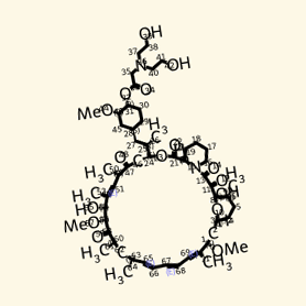 CO[C@H]1C[C@@H]2CC[C@@H](C)[C@@](O)(O2)C(=O)C(=O)N2CCCC[C@H]2C(=O)O[C@H]([C@H](C)C[C@@H]2CC[C@@H](OC(=O)CN(CCO)CCO)[C@H](OC)C2)CC(=O)[C@H](C)/C=C(\C)[C@@H](O)[C@@H](OC)C(=O)[C@H](C)C[C@H](C)/C=C/C=C/C=C/1C